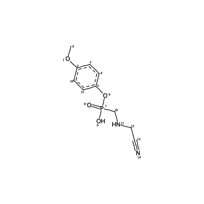 COc1ccc(OP(=O)(O)CNCC#N)cc1